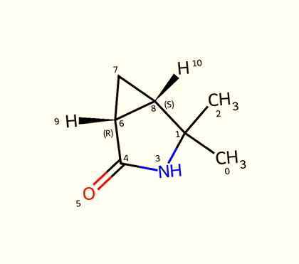 CC1(C)NC(=O)[C@@H]2C[C@@H]21